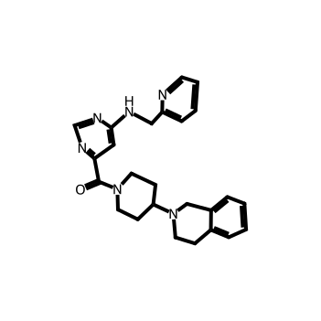 O=C(c1cc(NCc2ccccn2)ncn1)N1CCC(N2CCc3ccccc3C2)CC1